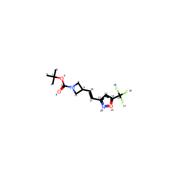 CC(C)(C)OC(=O)N1CC(C=Cc2cc(C(F)(F)F)on2)C1